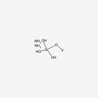 N.O[Si](O)(O)OF.[AlH3]